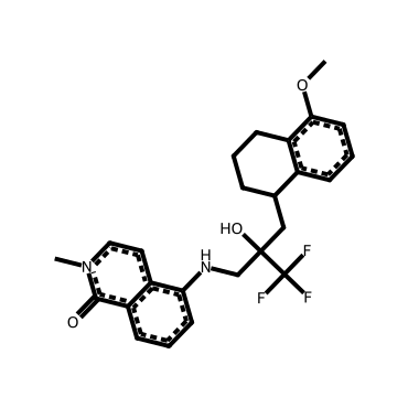 COc1cccc2c1CCCC2CC(O)(CNc1cccc2c(=O)n(C)ccc12)C(F)(F)F